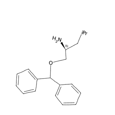 CC(C)C[C@H](N)COC(c1ccccc1)c1ccccc1